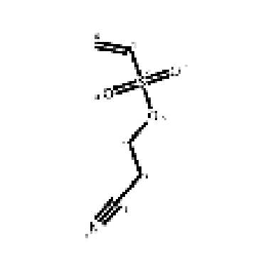 C=CS(=O)(=O)OCCC#N